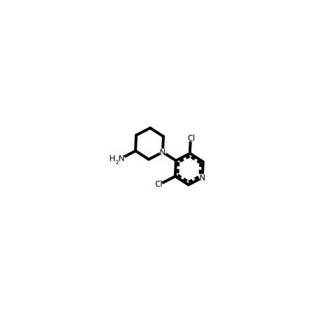 NC1CCCN(c2c(Cl)cncc2Cl)C1